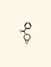 O=C(c1ccccc1)N1CCC2OC2C1